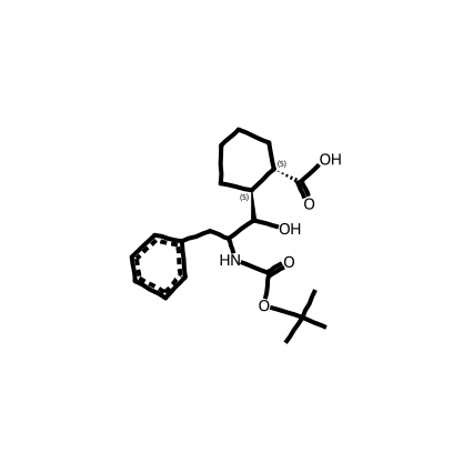 CC(C)(C)OC(=O)NC(Cc1ccccc1)C(O)[C@H]1CCCC[C@@H]1C(=O)O